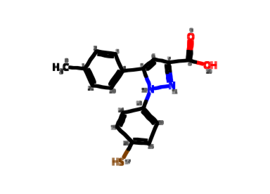 Cc1ccc(-c2cc(C(=O)O)nn2-c2ccc(S)cc2)cc1